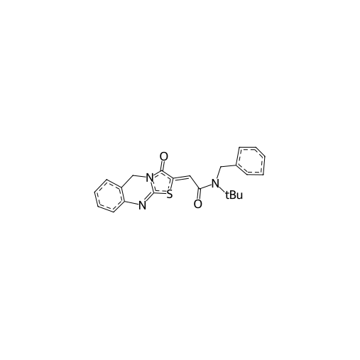 CC(C)(C)N(Cc1ccccc1)C(=O)C=c1sc2n(c1=O)Cc1ccccc1N=2